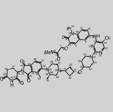 CNC(=O)COc1cc2cc(Nc3nc(N4CCC(O[C@H]5C[C@H](N6CCN(c7ccc8c(c7C)C(=O)N(C7CCC(=O)NC7=O)C8=O)[C@H](C)C6)C5)CC4)ncc3Cl)ccc2n(C(C)C)c1=O